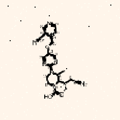 CC1C([C@H](C)CC#N)N(C(=O)O)CCN1c1ncc(OCc2ccncc2C#N)cn1